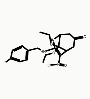 CCOC1(OCC)C2CC(=O)CC1C([N+](=O)[O-])=C(NCc1ccc(F)cc1)N2